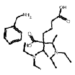 CCN(CC)C(C)C(CCCC(=O)O)(C(=O)O)C(C)N(CC)CC.NCc1ccccc1